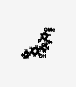 CO[C@@H]1C[C@@H](F)[C@H](N(C)c2nnc(-c3ccc(-n4ccnc4)cc3O)s2)C1